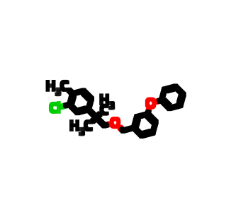 Cc1ccc(C(C)(C)COCc2cccc(Oc3ccccc3)c2)cc1Cl